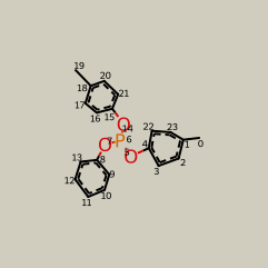 Cc1ccc(OP(Oc2ccccc2)Oc2ccc(C)cc2)cc1